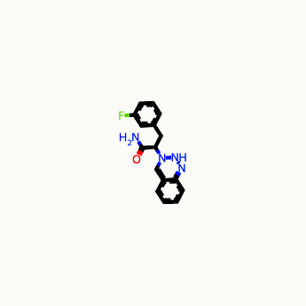 NC(=O)C(Cc1cccc(F)c1)N1C=c2ccccc2=NN1